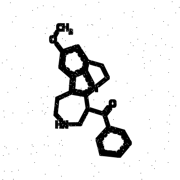 COc1cc2c3c(c1)c1c(n3CC2)C(C(=O)c2ccccc2)CNCC1